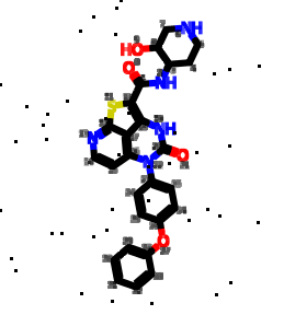 O=C(NC1CCNCC1O)c1sc2nccc3c2c1NC(=O)N3c1ccc(Oc2ccccc2)cc1